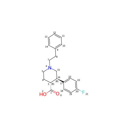 O=C(O)[C@@H]1CCN(CCc2ccccc2)C[C@H]1c1ccc(F)cc1